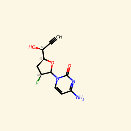 C#C[C@H](O)[C@@H]1C[C@H](F)C(n2ccc(N)nc2=O)O1